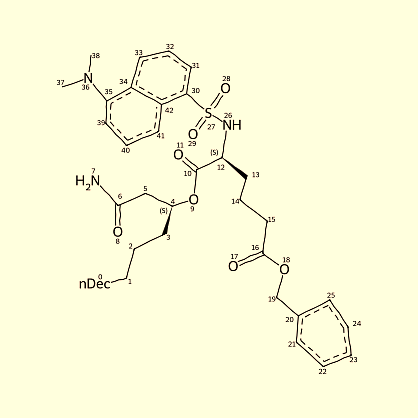 CCCCCCCCCCCCC[C@@H](CC(N)=O)OC(=O)[C@H](CCCC(=O)OCc1ccccc1)NS(=O)(=O)c1cccc2c(N(C)C)cccc12